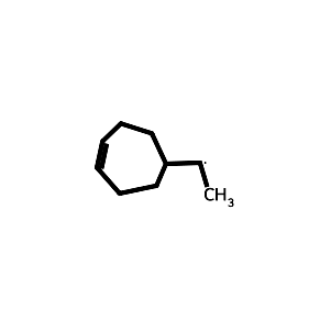 C[CH]C1CCC=CCC1